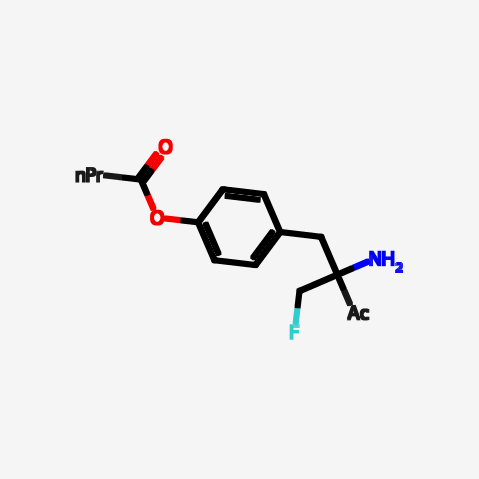 CCCC(=O)Oc1ccc(CC(N)(CF)C(C)=O)cc1